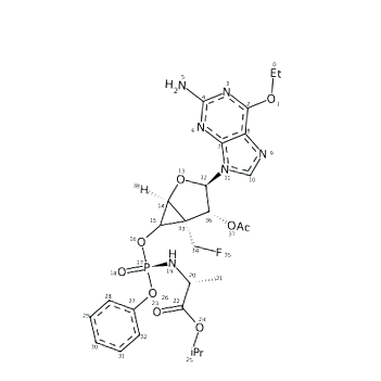 CCOc1nc(N)nc2c1ncn2[C@@H]1O[C@@H]2C(O[P@](=O)(N[C@H](C)C(=O)OC(C)C)Oc3ccccc3)[C@]2(CF)[C@H]1OC(C)=O